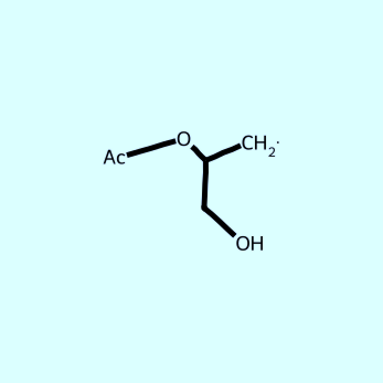 [CH2]C(CO)OC(C)=O